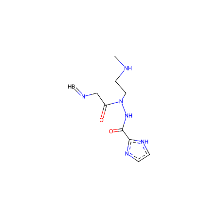 B=NCC(=O)N(CCNC)NC(=O)c1ncc[nH]1